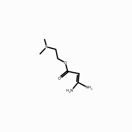 CN(C)CCOC(=O)C=C(N)N